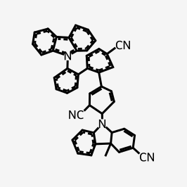 CC12C=C(C#N)C=CC1N(C1C=CC(c3cc(C#N)ccc3-c3ccccc3-n3c4ccccc4c4ccccc43)=CC1C#N)c1ccccc12